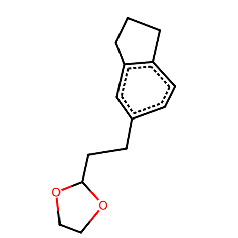 c1cc2c(cc1CCC1OCCO1)CCC2